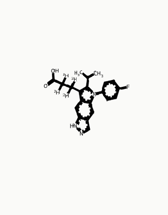 [2H]C([2H])(C(=O)O)C([2H])([2H])c1c(C(C)C)n(-c2ccc(F)cc2)c2cc3cn[nH]c3cc12